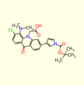 CN(C)c1c(Cl)ccc2c(=O)c3ccc(-c4ccn(C(=O)OC(C)(C)C)c4)cc3n(CC(=O)O)c12